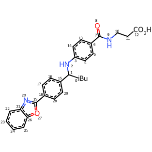 CCC(C)C(Nc1ccc(C(=O)NCCC(=O)O)cc1)c1ccc(-c2nc3ccccc3o2)cc1